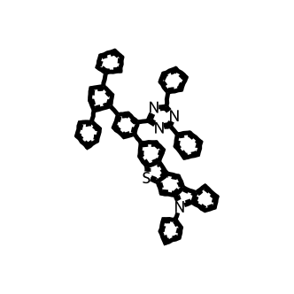 c1ccc(-c2ccc(-c3ccccc3)c(-c3ccc(-c4ccc5c(c4)sc4cc6c(cc45)c4ccccc4n6-c4ccccc4)c(-c4nc(-c5ccccc5)nc(-c5ccccc5)n4)c3)c2)cc1